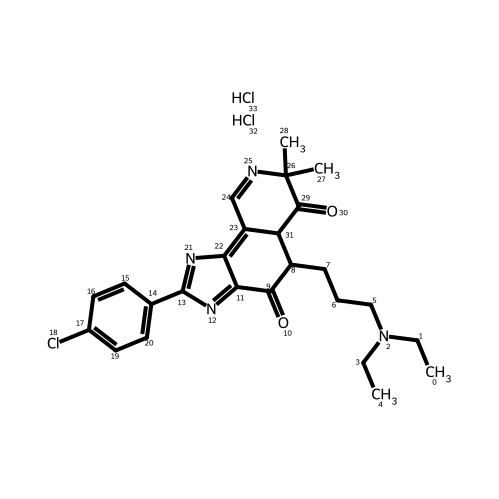 CCN(CC)CCCC1C(=O)C2=NC(c3ccc(Cl)cc3)=NC2=C2C=NC(C)(C)C(=O)C21.Cl.Cl